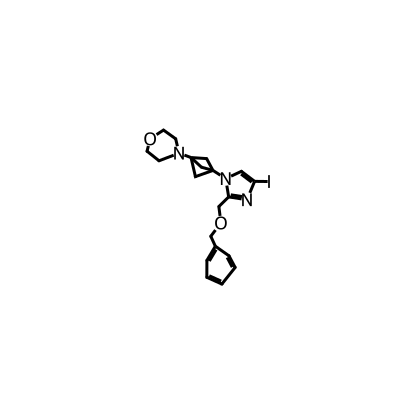 Ic1cn(C23CC(N4CCOCC4)(C2)C3)c(COCc2ccccc2)n1